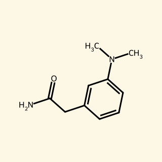 CN(C)c1cccc(CC(N)=O)c1